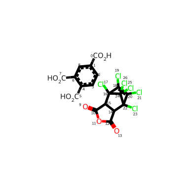 O=C(O)c1ccc(C(=O)O)c(C(=O)O)c1.O=C1OC(=O)C2C1C1(Cl)C(Cl)=C(Cl)C2(Cl)C1(Cl)Cl